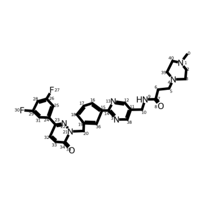 CN1CCN(CCC(=O)NCc2cnc(-c3cccc(Cn4nc(-c5cc(F)cc(F)c5)ccc4=O)c3)nc2)CC1